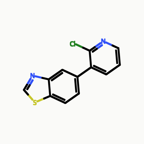 Clc1ncccc1-c1ccc2scnc2c1